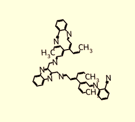 C\C=C/C(=C/C=N/c1ccccc1C#N)C(/C=C\C)=C/C=N/Cc1nc2ccccc2nc1C/N=C/C=C(\C=C/C)C(/C=C\C)=C/C=N/c1ccccc1C#N